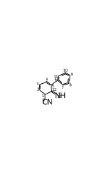 N#CC1C=CC=C(c2ccccc2)C1=N